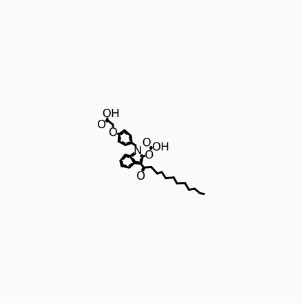 CCCCCCCCCCCC(=O)c1c(OC(=O)O)n(Cc2ccc(OCC(=O)O)cc2)c2ccccc12